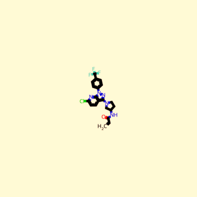 C=CC(=O)NC1CCN(c2nn(-c3ccc(C(F)(F)F)cc3)c3nc(Cl)ccc23)C1